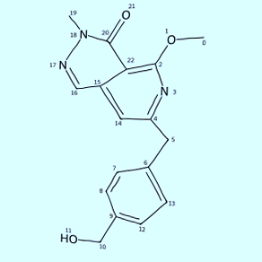 COc1nc(Cc2ccc(CO)cc2)cc2cnn(C)c(=O)c12